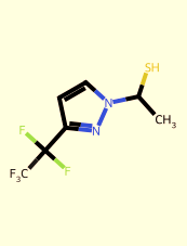 CC(S)n1ccc(C(F)(F)C(F)(F)F)n1